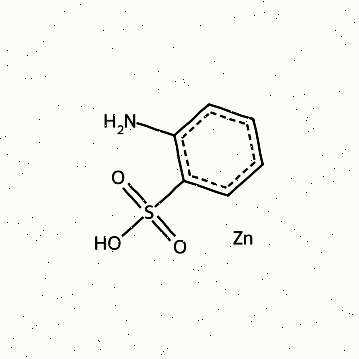 Nc1ccccc1S(=O)(=O)O.[Zn]